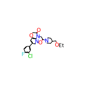 CCOCC1CCN(C(=O)CN2C(=O)COc3cc(-c4ccc(F)c(Cl)c4)cnc32)CC1